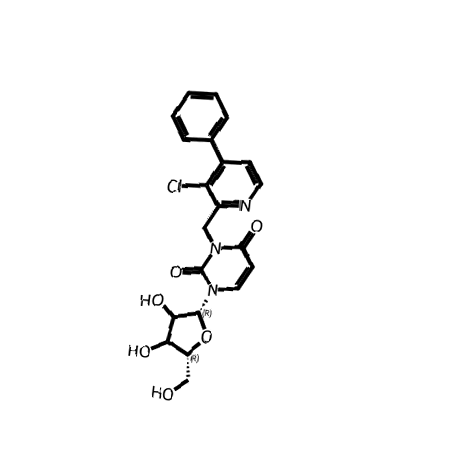 O=c1ccn([C@@H]2O[C@H](CO)C(O)C2O)c(=O)n1Cc1nccc(-c2ccccc2)c1Cl